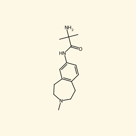 CN1CCc2ccc(NC(=O)C(C)(C)N)cc2CC1